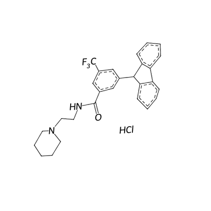 Cl.O=C(NCCN1CCCCC1)c1cc(C2c3ccccc3-c3ccccc32)cc(C(F)(F)F)c1